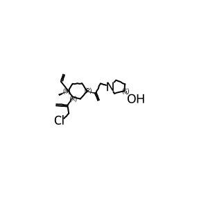 C=C[C@]1(C)CC[C@@H](C(=C)CN2CC[C@H](O)C2)C[C@H]1C(=C)CCl